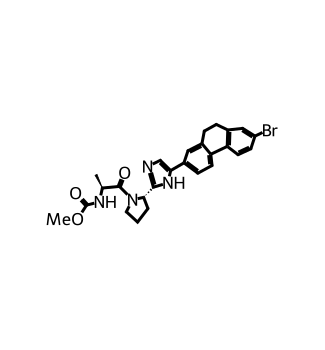 COC(=O)N[C@@H](C)C(=O)N1CCC[C@H]1c1ncc(-c2ccc3c(c2)CCc2cc(Br)ccc2-3)[nH]1